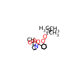 COC(=O)[C@@H]1CC=CN1C(=O)c1ccccc1OCOCC[Si](C)(C)C